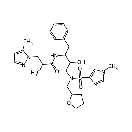 Cc1ccnn1CC(C)C(=O)NC(Cc1ccccc1)C(O)CN(CC1CCCO1)S(=O)(=O)c1cn(C)cn1